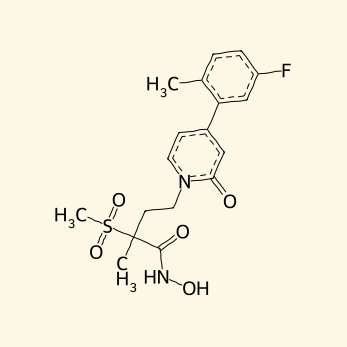 Cc1ccc(F)cc1-c1ccn(CCC(C)(C(=O)NO)S(C)(=O)=O)c(=O)c1